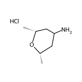 C[C@@H]1CC(N)C[C@H](C)O1.Cl